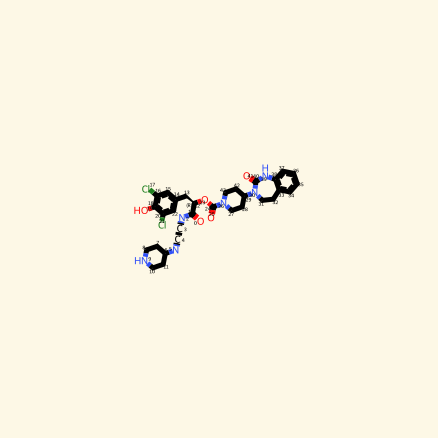 O=C(N=C=C=NC1CCNCC1)[C@@H](Cc1cc(Cl)c(O)c(Cl)c1)OC(=O)N1CCC(N2CCc3ccccc3NC2=O)CC1